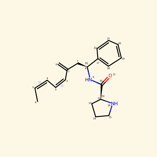 C=C(/C=C\C=C/C)C[C@H](NC(=O)[C@@H]1CCCN1)c1ccccc1